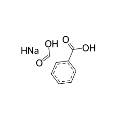 O=C(O)c1ccccc1.O=CO.[NaH]